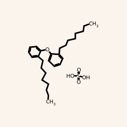 CCCCCCCCc1ccccc1Oc1ccccc1CCCCCCCC.O=S(=O)(O)O